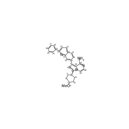 CO[C@H]1CC[C@@H](c2nc(-c3ccc4ccc(-c5ccccc5)nc4c3)c3c(N)nccn32)CC1